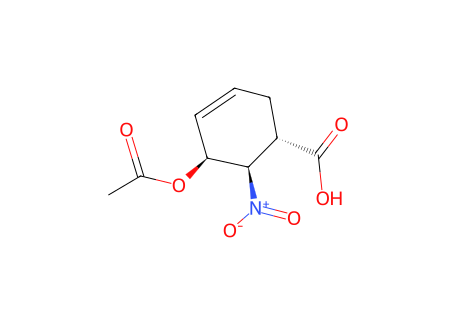 CC(=O)O[C@H]1C=CC[C@H](C(=O)O)[C@H]1[N+](=O)[O-]